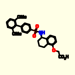 COc1cccc(OC)c1-c1ccc(S(=O)(=O)N[C@@H]2CCCc3c(OCC(=O)O)cccc32)cc1